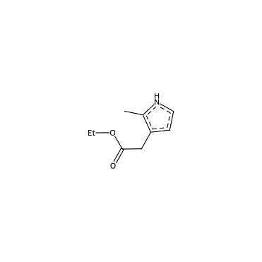 CCOC(=O)Cc1cc[nH]c1C